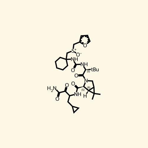 CC(C)(C)[C@H](NC(=O)NC1(C[S+]([O-])Cc2ccco2)CCCCC1)C(=O)N1CC2[C@@H]([C@H]1C(=O)NC(CC1CC1)C(=O)C(N)=O)C2(C)C